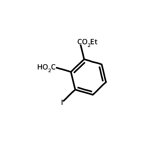 CCOC(=O)c1cccc(I)c1C(=O)O